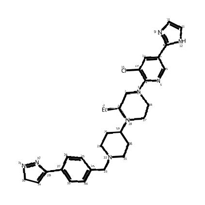 CC[C@H]1CN(c2ncc(-c3ncc[nH]3)cc2Cl)CCN1C1CCN(Cc2ccc(C3=CCN=N3)cc2)CC1